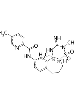 Cc1ccc(C(=O)Nc2ccc3c(c2)[C@@]2(C)NC(=N)N(C)S(=O)(=O)[C@H]2CCC3)nc1